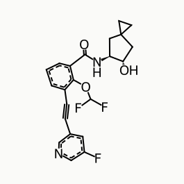 O=C(N[C@H]1CC2(CC2)C[C@@H]1O)c1cccc(C#Cc2cncc(F)c2)c1OC(F)F